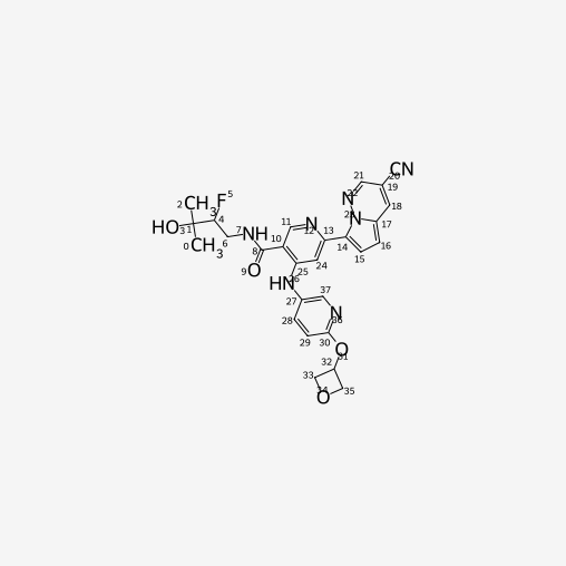 CC(C)(O)C(F)CNC(=O)c1cnc(-c2ccc3cc(C#N)cnn23)cc1Nc1ccc(OC2COC2)nc1